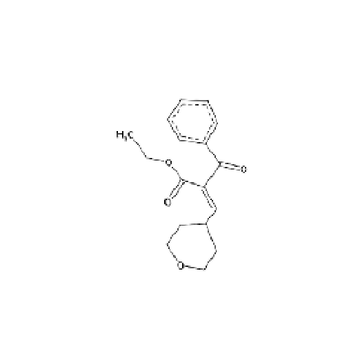 CCOC(=O)/C(=C\C1CCOCC1)C(=O)c1ccccc1